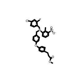 COC(=O)CCc1ccc(Oc2ccc(CN(Cc3ccc(Cl)cc3F)c3cccc([N+](=O)[O-])c3C)cc2)cc1